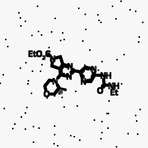 CCNC(=O)Nc1cnc(-c2nc3c(c(N4CCOC[C@@H]4C)n2)CN(C(=O)OCC)C3)cn1